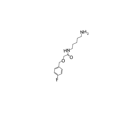 NCCCCCNC(=O)COCc1ccc(F)cc1